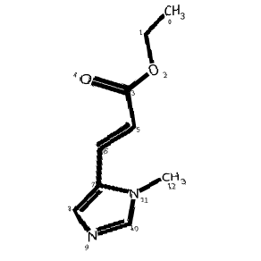 CCOC(=O)C=Cc1cncn1C